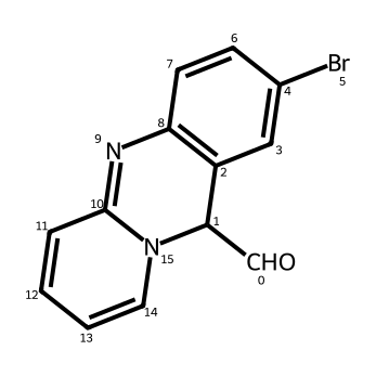 O=CC1c2cc(Br)ccc2N=C2C=CC=CN21